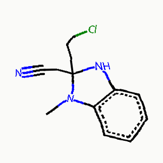 CN1c2ccccc2NC1(C#N)CCl